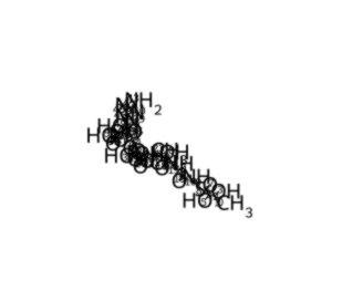 CCC(O)C(O)C(=O)SCCNC(=O)CCNC(=O)[C@H](O)C(C)(C)COP(=O)(O)OP(=O)(O)OC[C@H]1O[C@@H](n2cnc3c(N)ncnc32)[C@H](O)[C@@H]1OP(=O)(O)O